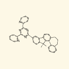 CC1(C)c2ccc(-c3nc(-c4ccccn4)nc(-c4ccccn4)n3)cc2-c2ccc3c(c21)-c1ccccc1CCC3